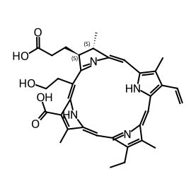 C=Cc1c(C)c2cc3nc(c(CCO)c4[nH]c(cc5nc(cc1[nH]2)C(C)=C5CC)c(C)c4C(=O)O)[C@@H](CCC(=O)O)[C@@H]3C